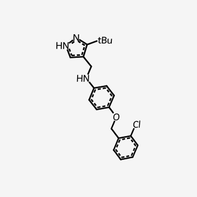 CC(C)(C)c1n[nH]cc1CNc1ccc(OCc2ccccc2Cl)cc1